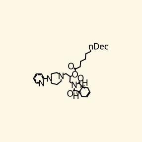 CCCCCCCCCCCCCCCC(=O)OC(CN1CCCN(c2ccccn2)CC1)CN1C(=O)[C@H]2CC=CC[C@H]2C1=O